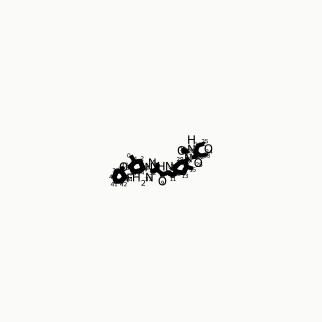 Cc1cc(-n2ncc(C(=O)c3cc4cc(C)c(N5C(=O)NC6(CCOCC6)C5=O)cc4[nH]3)c2N)ccc1Oc1ccccc1F